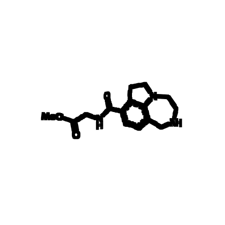 COC(=O)CNC(=O)c1ccc2c3c1CCN3CCNC2